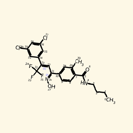 CCCCNC(=O)c1ccc(C(/C=C(/c2cc(Cl)cc(Cl)c2)C(F)(F)F)=N\O)cc1C